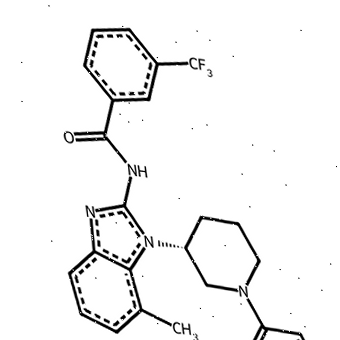 C=CC(=O)N1CCC[C@@H](n2c(NC(=O)c3cccc(C(F)(F)F)c3)nc3cccc(C)c32)C1